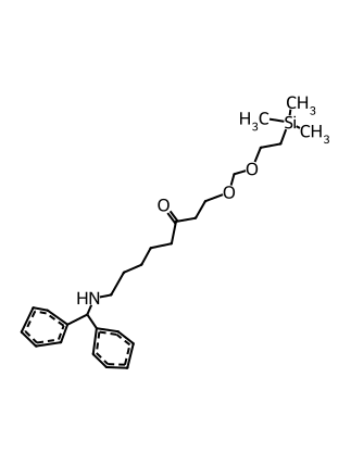 C[Si](C)(C)CCOCOCCC(=O)CCCCCNC(c1ccccc1)c1ccccc1